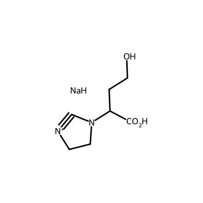 O=C(O)C(CCO)N1C#[N+]CC1.[NaH]